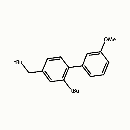 COc1cccc(-c2ccc(CC(C)(C)C)cc2C(C)(C)C)c1